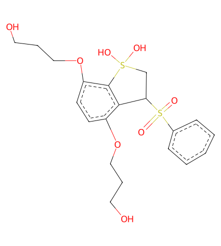 O=S(=O)(c1ccccc1)C1CS(O)(O)c2c(OCCCO)ccc(OCCCO)c21